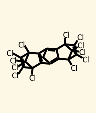 ClC1=C(Cl)C2(Cl)C3=C4CC(=C3C1(Cl)C2(Cl)Cl)C1=C4C2(Cl)C(Cl)=C(Cl)C1(Cl)C2(Cl)Cl